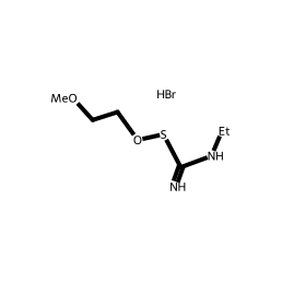 Br.CCNC(=N)SOCCOC